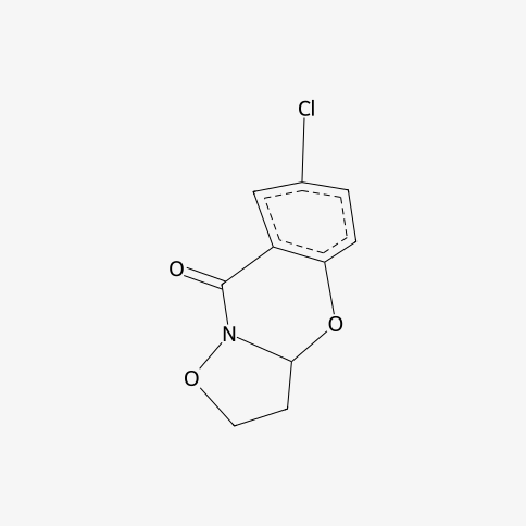 O=C1c2cc(Cl)ccc2OC2CCON12